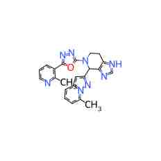 Cc1ncccc1-c1nnc(N2CCc3[nH]cnc3C2c2cc3cccc(C)n3n2)o1